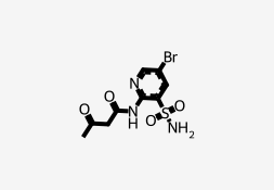 CC(=O)CC(=O)Nc1ncc(Br)cc1S(N)(=O)=O